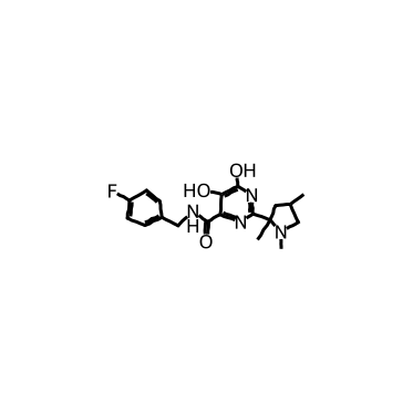 CC1CN(C)C(C)(c2nc(O)c(O)c(C(=O)NCc3ccc(F)cc3)n2)C1